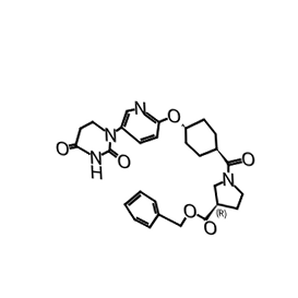 O=C1CCN(c2ccc(O[C@H]3CC[C@H](C(=O)N4CC[C@@H](C(=O)OCc5ccccc5)C4)CC3)nc2)C(=O)N1